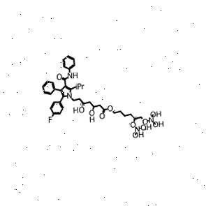 CC(C)c1c(C(=O)Nc2ccccc2)c(-c2ccccc2)c(-c2ccc(F)cc2)n1CC[C@@H](O)CC(O)CC(=O)OCCCC[C@@H](CON(O)O)ON(O)O